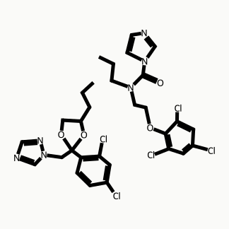 CCCC1COC(Cn2cncn2)(c2ccc(Cl)cc2Cl)O1.CCCN(CCOc1c(Cl)cc(Cl)cc1Cl)C(=O)n1ccnc1